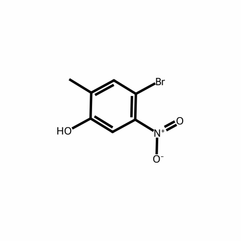 Cc1cc(Br)c([N+](=O)[O-])cc1O